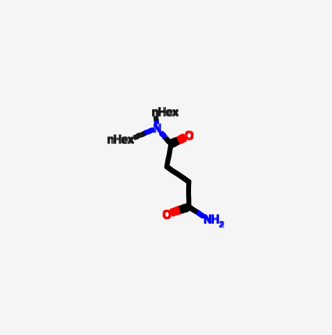 CCCCCCN(CCCCCC)C(=O)CCC(N)=O